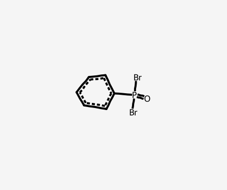 O=P(Br)(Br)c1ccccc1